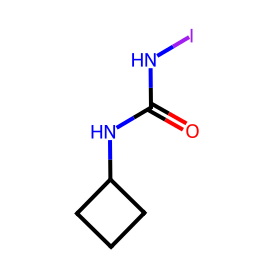 O=C(NI)NC1CCC1